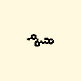 N#Cc1cccc(Oc2ncccc2OCCCc2ccncc2O)c1